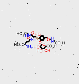 NC(CCC(=O)NC(CSc1c(O)cc(COCNCC(=O)O)cc1OC1OC(C(=O)O)[C@@H](O)[C@H](O)[C@H]1O)C(=O)NCC(=O)O)C(=O)O